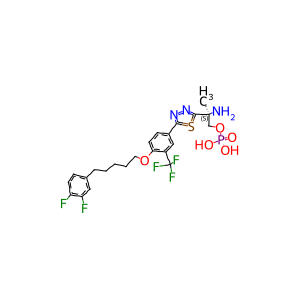 C[C@](N)(COP(=O)(O)O)c1nnc(-c2ccc(OCCCCCc3ccc(F)c(F)c3)c(C(F)(F)F)c2)s1